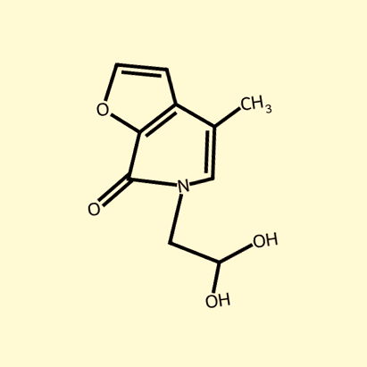 Cc1cn(CC(O)O)c(=O)c2occc12